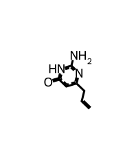 C=CCc1cc(=O)[nH]c(N)n1